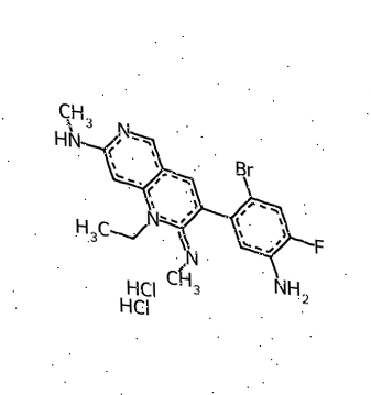 CCn1c(=NC)c(-c2cc(N)c(F)cc2Br)cc2cnc(NC)cc21.Cl.Cl